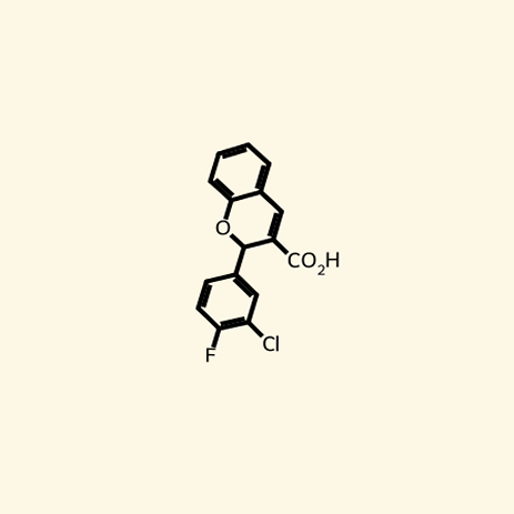 O=C(O)C1=Cc2ccccc2OC1c1ccc(F)c(Cl)c1